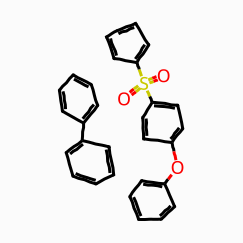 O=S(=O)(c1ccccc1)c1ccc(Oc2ccccc2)cc1.c1ccc(-c2ccccc2)cc1